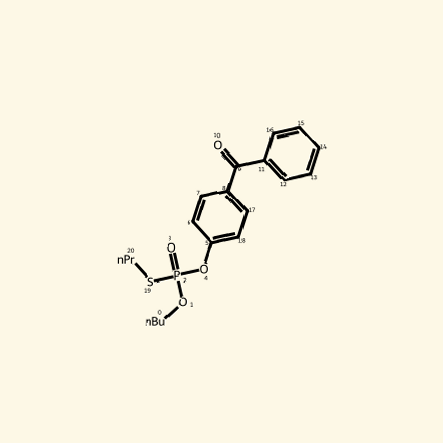 CCCCOP(=O)(Oc1ccc(C(=O)c2ccccc2)cc1)SCCC